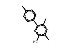 Cc1ccc(-c2nc(C#N)c(C)nc2C)cc1